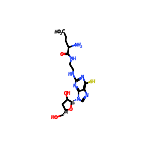 NC(CCC(=O)O)C(=O)NCCNc1nc(S)c2ncn([C@@H]3O[C@H](CO)CC3O)c2n1